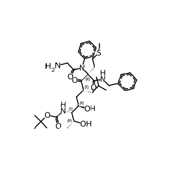 CSCC[C@](C(=O)NCc1ccccc1)(C(=O)[C@H](CC(C)C)C[C@@H](O)[C@@H](NC(=O)OC(C)(C)C)[C@@H](C)O)N(C(=O)CN)c1ccccc1